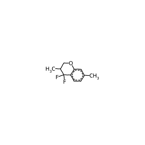 Cc1ccc2c(c1)OCC(C)C2(F)F